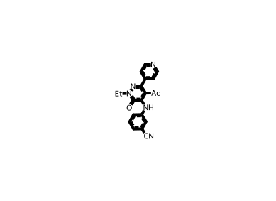 CCn1nc(-c2ccncc2)c(C(C)=O)c(Nc2cccc(C#N)c2)c1=O